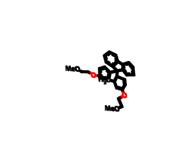 COCCOC1=CC(C)C(C2(c3ccc(OCCOC)cc3)c3ccccc3-c3ccccc32)C=C1